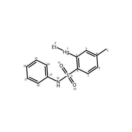 C[CH2][Hg][c]1cc(C)ccc1S(=O)(=O)Nc1ccccc1